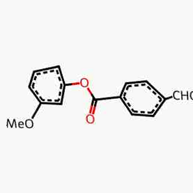 COc1cccc(OC(=O)c2ccc(C=O)cc2)c1